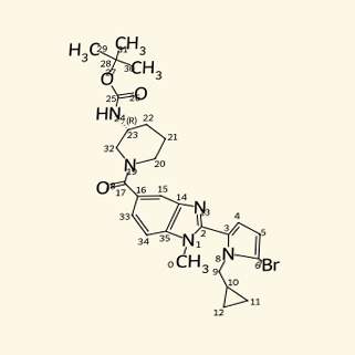 Cn1c(-c2ccc(Br)n2CC2CC2)nc2cc(C(=O)N3CCC[C@@H](NC(=O)OC(C)(C)C)C3)ccc21